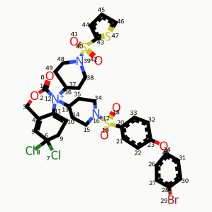 O=C1OCC2=CC(Cl)(Cl)CC=C2[N+]1(C1CCN(S(=O)(=O)c2ccc(Oc3ccc(Br)cc3)cc2)CC1)C1CCN(S(=O)(=O)c2cccs2)CC1